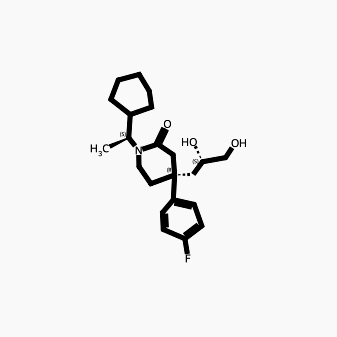 C[C@@H](C1CCCCC1)N1CC[C@](C[C@H](O)CO)(c2ccc(F)cc2)CC1=O